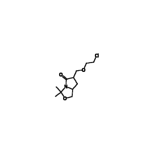 CC1(C)OCC2CC(COCCCl)C(=O)N21